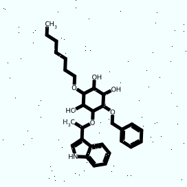 CCCCCCCOC1C(O)C(O)C(OCc2ccccc2)C(OC(C)c2c[nH]c3ccccc23)C1O